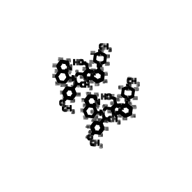 COc1ccc([C@H](C)N(Cc2nc3cccc(N4CCN(C)CC4)n3c2CO)[C@H]2CCCc3cccnc32)cc1.COc1ccc([C@H](C)N(Cc2nc3cccc(N4CCN(C)CC4)n3c2CO)[C@H]2CCCc3cccnc32)cc1